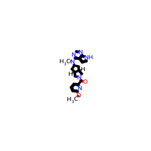 COc1cccc(C(=O)N2C[C@H]3CC(N(C)c4ncnc5[nH]ccc45)C[C@H]3C2)n1